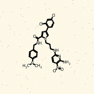 CN(C)c1ccc(CNC(=O)c2cc(-c3ccc(Cl)cc3Cl)cn2CCCNc2ccc([N+](=O)[O-])c(N)n2)cc1